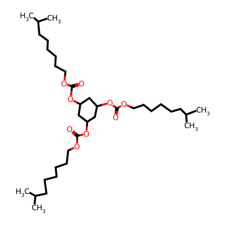 CC(C)CCCCCCOC(=O)OC1CC(OC(=O)OCCCCCCC(C)C)CC(OC(=O)OCCCCCCC(C)C)C1